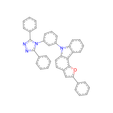 c1ccc(-c2cc3ccc4c(c5ccccc5n4-c4cccc(-n5c(-c6ccccc6)nnc5-c5ccccc5)c4)c3o2)cc1